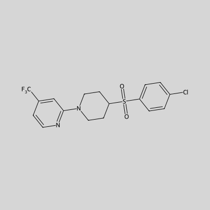 O=S(=O)(c1ccc(Cl)cc1)C1CCN(c2cc(C(F)(F)F)ccn2)CC1